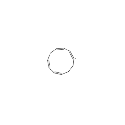 [C]1=CC=CCC=CC=CCC1